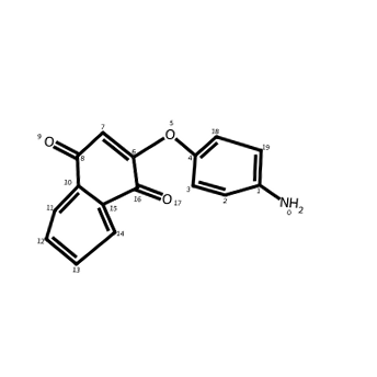 Nc1ccc(OC2=CC(=O)c3ccccc3C2=O)cc1